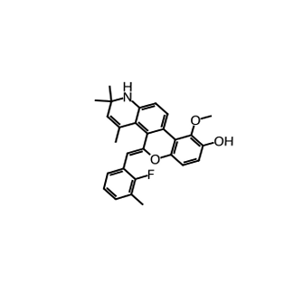 COc1c(O)ccc2c1-c1ccc3c(c1C(=Cc1cccc(C)c1F)O2)C(C)=CC(C)(C)N3